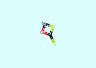 S=c1o[se]s1